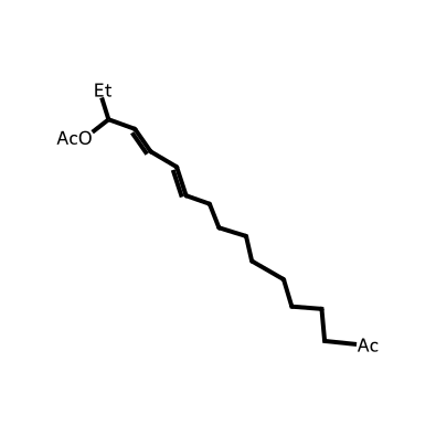 CCC(/C=C/C=C/CCCCCCCCC(C)=O)OC(C)=O